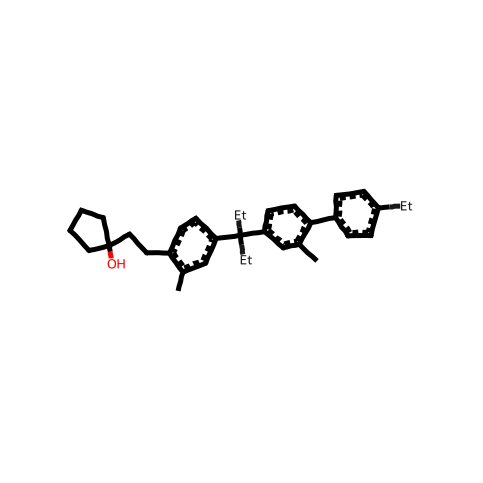 CCc1ccc(-c2ccc(C(CC)(CC)c3ccc(CCC4(O)CCCC4)c(C)c3)cc2C)cc1